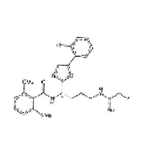 COc1cccc(OC)c1C(=O)N[C@@H](CCCNC(=N)CF)c1ncc(-c2ccccc2Cl)o1